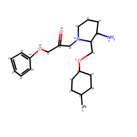 CC(C)C1CCC(OCC2C(N)CCCN2CC(=O)COc2ccccc2)CC1